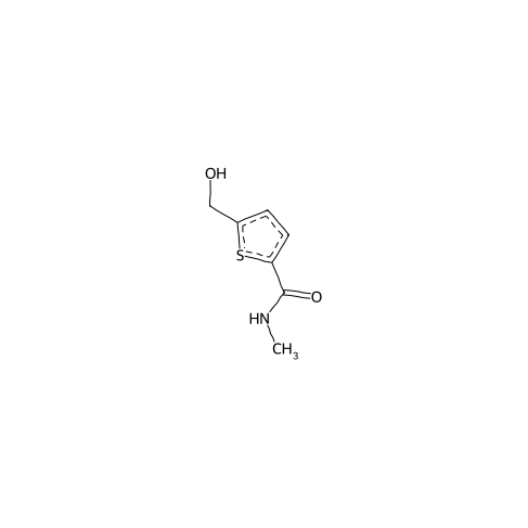 CNC(=O)c1ccc(CO)s1